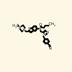 CCCCC(=O)N(Cc1cncn1Cc1ccc(C#N)cc1)c1ccc2sc(CN3CCN(C)CC3)cc2c1